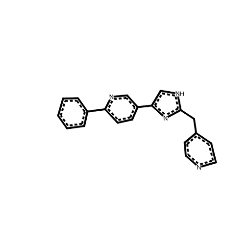 c1ccc(-c2ccc(-c3c[nH]c(Cc4ccncc4)n3)cn2)cc1